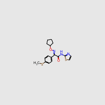 CSc1ccc(/C(=N\OC2CCCC2)C(=O)Nc2nccs2)cc1